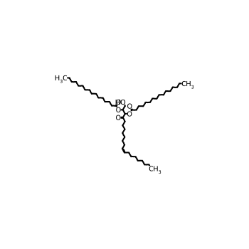 CCCCCCCC/C=C\CCCCCCCC(=O)C(OC(=O)CCCCCCCCCCCCCCC)C(CO)OC(=O)CCCCCCCCCCCCCCC